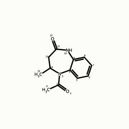 CC(=O)N1c2ccccc2NC(=O)CC1C